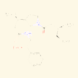 CC[C@H](C)C[C@@H](CC(=O)N1CCC([C@H](OC)[C@@H](C)C(=O)N[C@H](C)[C@@H](O)c2ccccc2)C1)OC